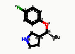 CCCC[C@@H](Oc1ccc(F)cc1)[C@H]1CCNC1